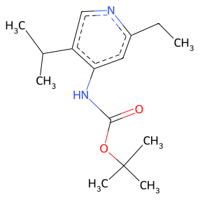 CCc1cc(NC(=O)OC(C)(C)C)c(C(C)C)cn1